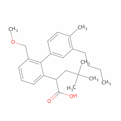 CCCCc1cc(-c2c(COC)cccc2C(CC(C)(C)C)C(=O)O)ccc1C